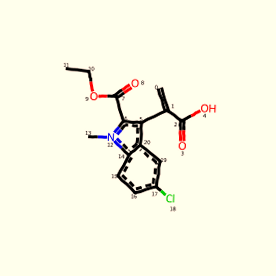 C=C(C(=O)O)c1c(C(=O)OCC)n(C)c2ccc(Cl)cc12